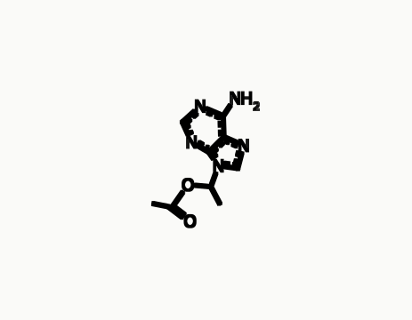 CC(=O)OC(C)n1cnc2c(N)ncnc21